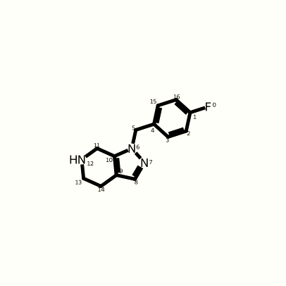 Fc1ccc(Cn2ncc3c2CNCC3)cc1